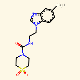 O=C(O)c1ccc2c(c1)ncn2CCNC(=O)N1CCS(=O)(=O)CC1